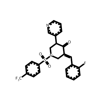 O=C1C(=Cc2ccccc2F)CN(S(=O)(=O)c2ccc(C(F)(F)F)cc2)CC1c1cccnc1